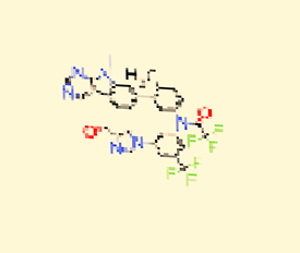 Cc1ccc(N(C(=O)C(F)(F)F)c2cc(-n3cnc(C=O)c3)cc(C(F)(F)F)c2)cc1-c1ccc2c(c1)[nH]c1ncncc12